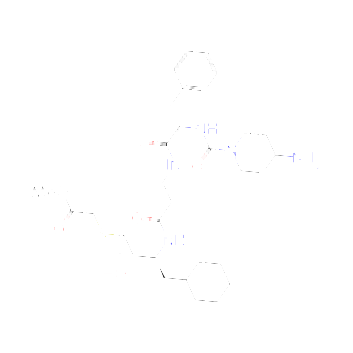 COC(=O)CSC[C@@H](O)[C@H](CC1CCCCC1)NC(=O)CCNC(=O)[C@H](Cc1ccccc1)NC(=O)N1CCC(N)CC1